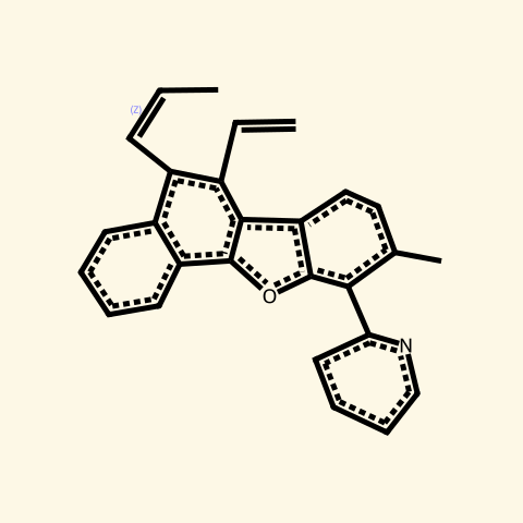 C=Cc1c(/C=C\C)c2ccccc2c2oc3c(-c4ccccn4)c(C)ccc3c12